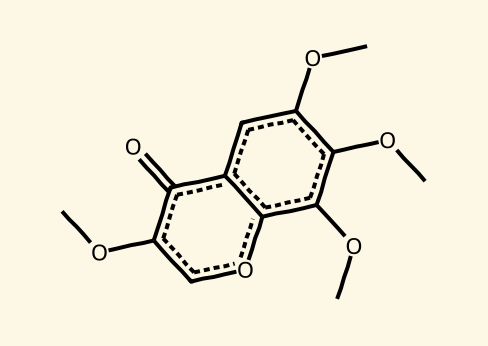 COc1cc2c(=O)c(OC)coc2c(OC)c1OC